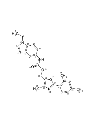 CCn1cnc2cc(NC(=O)OCc3sc(-c4ccc(C)cc4C)nc3C)ccc21